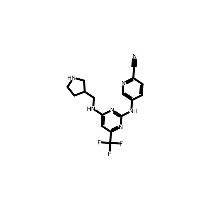 N#Cc1ccc(Nc2nc(NCC3CCNC3)cc(C(F)(F)F)n2)cn1